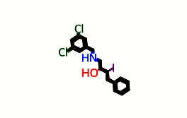 O[C@H](CNCc1cc(Cl)cc(Cl)c1)[C@@H](I)Cc1ccccc1